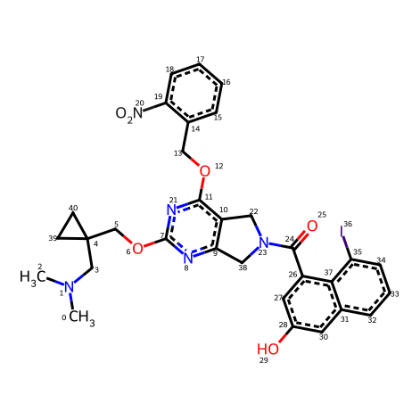 CN(C)CC1(COc2nc3c(c(OCc4ccccc4[N+](=O)[O-])n2)CN(C(=O)c2cc(O)cc4cccc(I)c24)C3)CC1